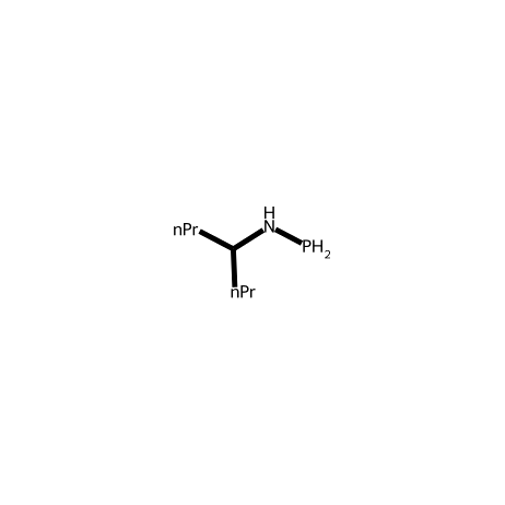 CCCC(CCC)NP